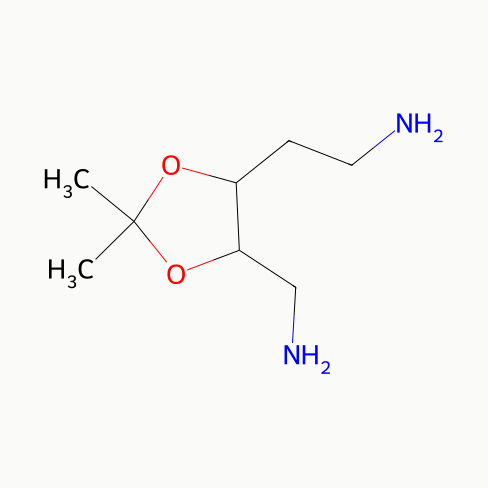 CC1(C)OC(CN)C(CCN)O1